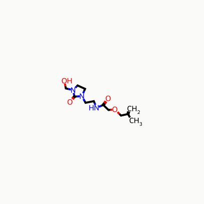 C=C(C)COCC(=O)NCCN1CCN(CO)C1=O